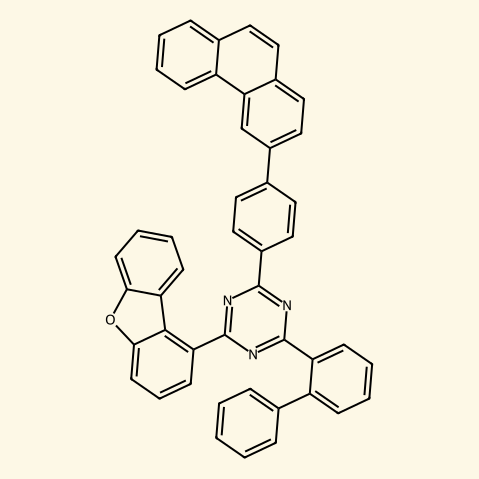 c1ccc(-c2ccccc2-c2nc(-c3ccc(-c4ccc5ccc6ccccc6c5c4)cc3)nc(-c3cccc4oc5ccccc5c34)n2)cc1